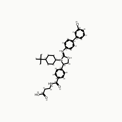 CC(C)(C)C1CCC(N2C(=Nc3ccc(-c4cccc(Cl)c4)cc3)OCC2c2ccc(C(=O)NCCC(=O)O)cc2)CC1